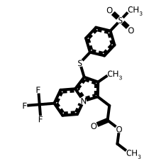 CCOC(=O)Cc1c(C)c(Sc2ccc(S(C)(=O)=O)cc2)c2cc(C(F)(F)F)ccn12